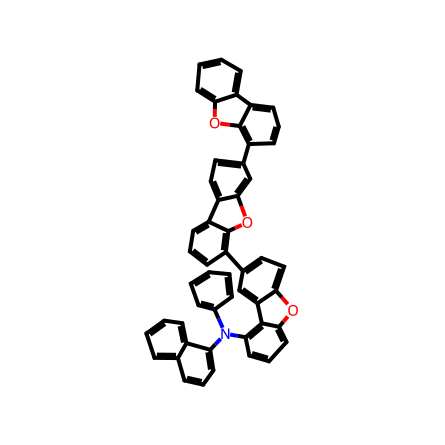 c1ccc(N(c2cccc3ccccc23)c2cccc3oc4ccc(-c5cccc6c5oc5cc(-c7cccc8c7oc7ccccc78)ccc56)cc4c23)cc1